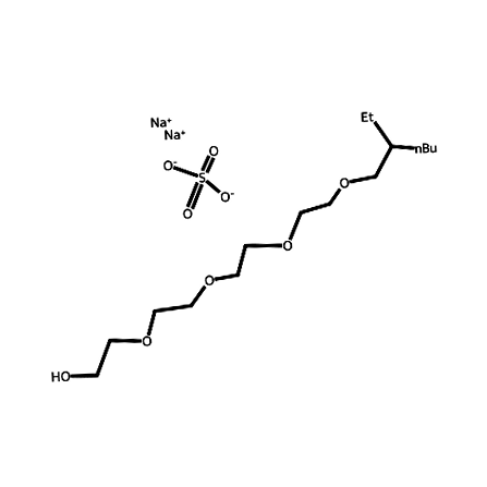 CCCCC(CC)COCCOCCOCCOCCO.O=S(=O)([O-])[O-].[Na+].[Na+]